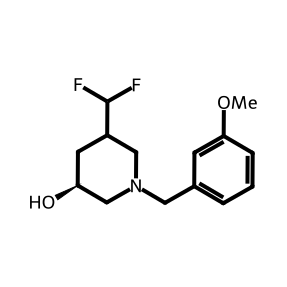 COc1cccc(CN2CC(C(F)F)C[C@H](O)C2)c1